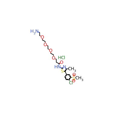 Cc1nc(NC(=O)CCOCCOCCOCCOCCN)sc1-c1ccc(Cl)c(S(C)(=O)=O)c1.Cl